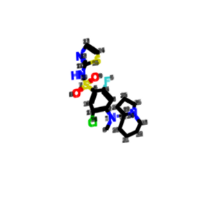 CN(c1cc(F)c(S(=O)(=O)Nc2nccs2)cc1Cl)[C@@]12CCCCN1CCC2